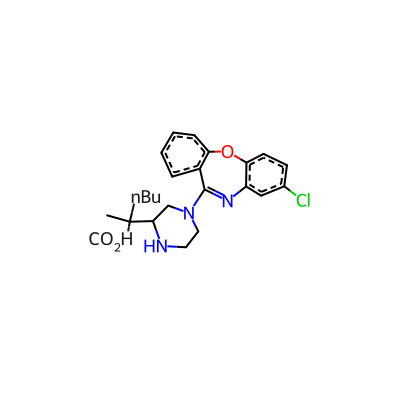 CCCCC(C)(C(=O)O)C1CN(C2=Nc3cc(Cl)ccc3Oc3ccccc32)CCN1